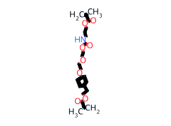 C=C(C)C(=O)OCCCNC(=O)OCCOCCOc1ccc(CCOC(=O)C(=C)C)cc1